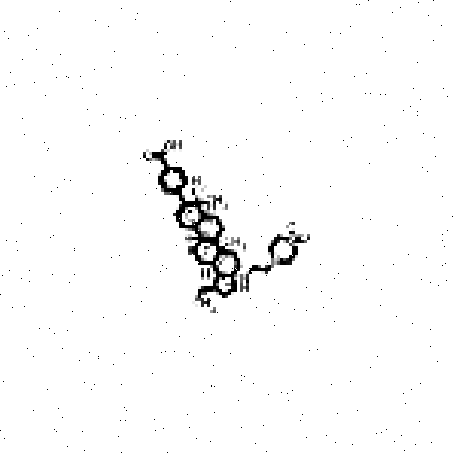 CC=C1CC[C@]2(NCCN3CCS(=O)(=O)CC3)CC[C@]3(C)[C@H](CC[C@@H]4[C@@]5(C)CC=C(c6ccc(C(=O)O)cc6)C(C)(C)[C@@H]5CC[C@]43C)[C@@H]12